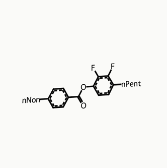 CCCCCCCCCc1ccc(C(=O)Oc2ccc(CCCCC)c(F)c2F)cc1